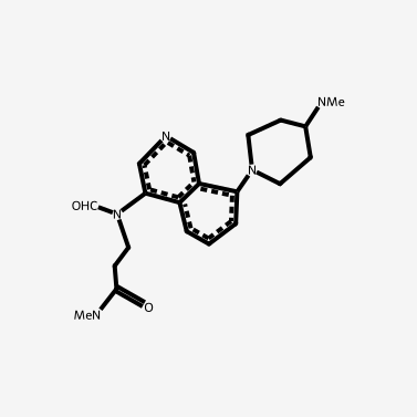 CNC(=O)CCN(C=O)c1cncc2c(N3CCC(NC)CC3)cccc12